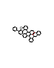 c1ccc(-c2cccc3c2oc2cccc(-c4c5ccccc5c(-c5ccccc5-c5ccc6ccccc6c5)c5ccccc45)c23)cc1